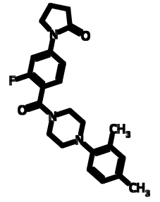 Cc1ccc(N2CCN(C(=O)c3ccc(N4CCCC4=O)cc3F)CC2)c(C)c1